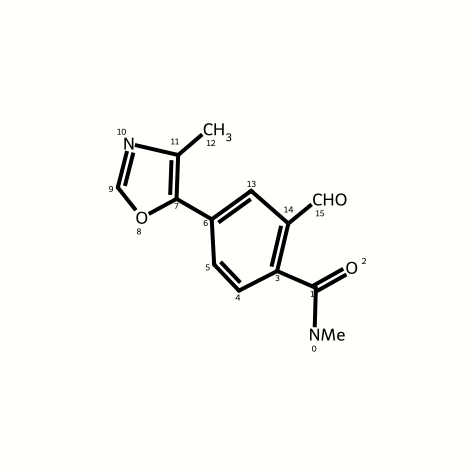 CNC(=O)c1ccc(-c2ocnc2C)cc1C=O